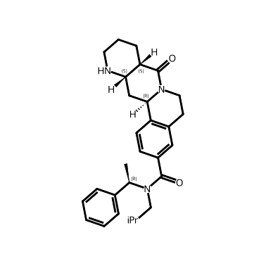 CC(C)CN(C(=O)c1ccc2c(c1)CCN1C(=O)[C@H]3CCCN[C@H]3C[C@H]21)[C@H](C)c1ccccc1